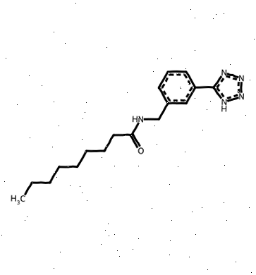 CCCCCCCCC(=O)NCc1cccc(-c2nnn[nH]2)c1